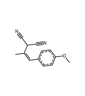 COc1ccc(C=C(C)C(C#N)C#N)cc1